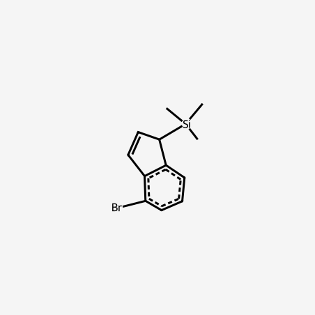 C[Si](C)(C)C1C=Cc2c(Br)cccc21